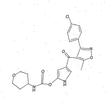 Cc1onc(-c2ccc(Cl)cc2)c1C(=O)c1c[nH]c(OC(=O)NC2CCOCC2)c1